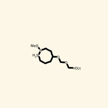 CCCCCCCCCOCOC1CCC[SiH2]N(OC)CC1